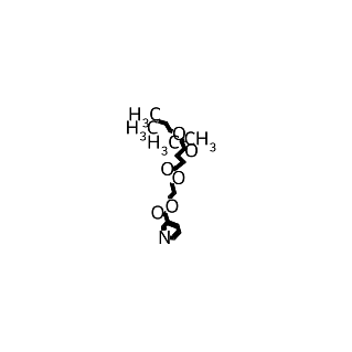 CC(C)CCOC(C)(C)C(=O)CCC(=O)OCCCOC(=O)c1cccnc1